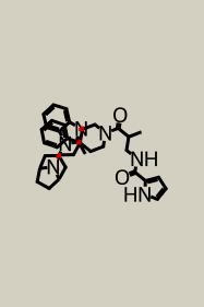 Cc1nc2ccccc2n1C1CC2CCC(C1)N2CCC1(c2ccccc2)CCN(C(=O)C(C)CNC(=O)c2ccc[nH]2)CC1